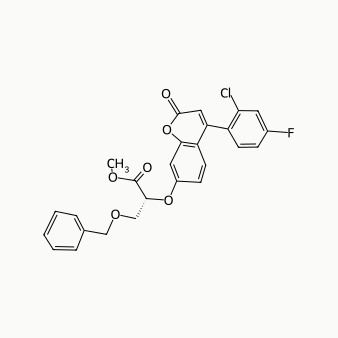 COC(=O)[C@@H](COCc1ccccc1)Oc1ccc2c(-c3ccc(F)cc3Cl)cc(=O)oc2c1